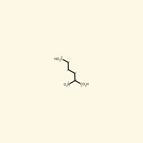 O=C(O)CCCC(C(=O)O)[N+](=O)[O-]